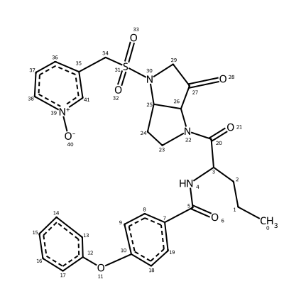 CCCC(NC(=O)c1ccc(Oc2ccccc2)cc1)C(=O)N1CCC2C1C(=O)CN2S(=O)(=O)Cc1ccc[n+]([O-])c1